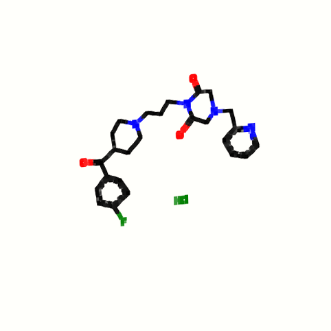 Cl.O=C(c1ccc(F)cc1)C1CCN(CCCN2C(=O)CN(Cc3ccccn3)CC2=O)CC1